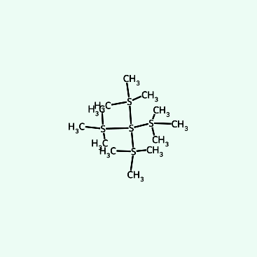 CS(C)(C)S(S(C)(C)C)(S(C)(C)C)S(C)(C)C